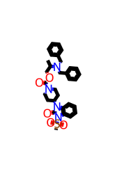 CC(COC(=O)N1CCC(n2c(=O)n(S(C)(=O)=O)c3ccccc32)CC1)N(Cc1ccccc1)Cc1ccccc1